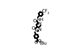 CC(C)(C)OC(=O)c1ccc(Cn2cnc3cnc(C(=O)NCc4ccc(C(F)(F)F)cc4)cc3c2=O)cc1